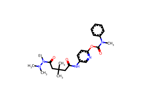 CCN(C(=O)CC(C)(C)CC(=O)Nc1ccc(OC(=O)N(C)c2ccccc2)nc1)N(C)C